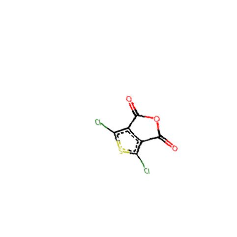 O=C1OC(=O)c2c(Cl)sc(Cl)c21